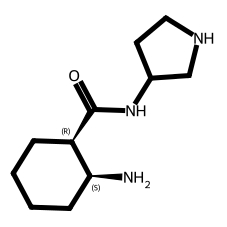 N[C@H]1CCCC[C@H]1C(=O)NC1CCNC1